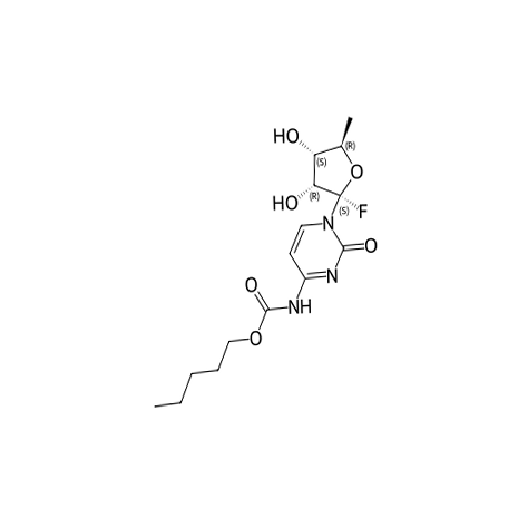 CCCCCOC(=O)Nc1ccn([C@]2(F)O[C@H](C)[C@@H](O)[C@H]2O)c(=O)n1